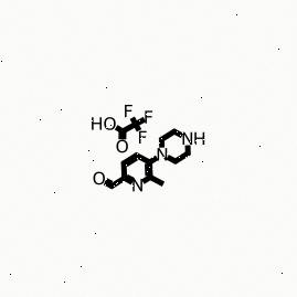 Cc1nc(C=O)ccc1N1CCNCC1.O=C(O)C(F)(F)F